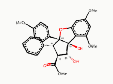 COC(=O)[C@@H]1[C@@H](O)[C@@]2(O)c3c(OC)cc(OC)cc3O[C@@]2(c2ccc(OC)cc2)[C@H]1c1ccccc1